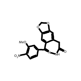 COc1cc(C2=NNC(=O)Cc3cc4c(cc32)OCO4)ccc1[N+](=O)[O-]